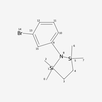 C[Si]1(C)CC[Si](C)(C)N1c1cccc(Br)c1